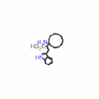 NC1(C(Cc2c[nH]c3ccccc23)C(=O)O)CCCCCCCCCC1